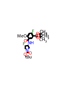 COc1cc(F)c(B2OC(C)(C)C(C)(C)O2)cc1C(=O)N[C@@H]1CN(C(=O)OC(C)(C)C)C[C@@H]1F